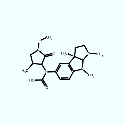 CON1CC(C)C(N(C(=O)O)c2ccc3c(c2)[C@]2(C)CCN(C)C2N3C)C1=O